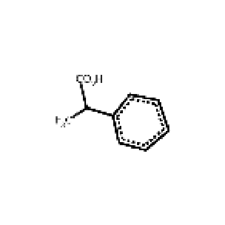 O=C(O)C(c1ccccc1)C(F)(F)F